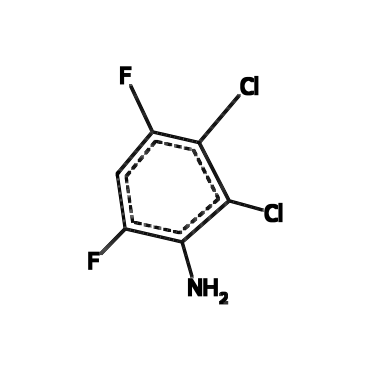 Nc1c(F)cc(F)c(Cl)c1Cl